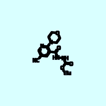 CC(C)(C)OC(=O)NNC(=O)c1cc(C#N)cnc1N1CCOCC1